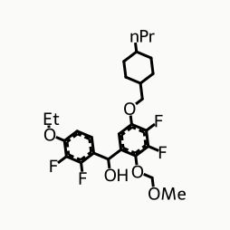 CCCC1CCC(COc2cc(C(O)c3ccc(OCC)c(F)c3F)c(OCOC)c(F)c2F)CC1